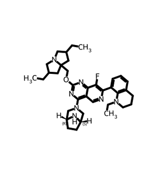 CCC1CN2CC(CC)CC2(COc2nc(N3C[C@H]4CC[C@@H](C3)N4)c3cnc(-c4cccc5c4N(CC)CCC5)c(F)c3n2)C1